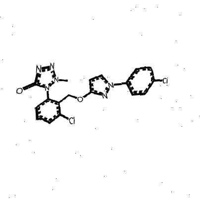 Cn1nnc(=O)n1-c1cccc(Cl)c1COc1ccn(-c2ccc(Cl)cc2)n1